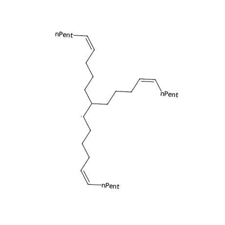 CCCCC/C=C\CCC[CH]C(CCC/C=C\CCCCC)CCC/C=C\CCCCC